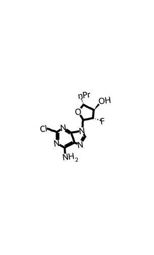 [CH2]CC[C@H]1OC(n2cnc3c(N)nc(Cl)nc32)[C@@H](F)[C@@H]1O